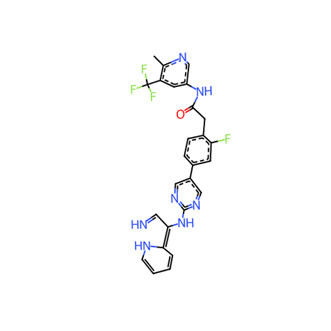 Cc1ncc(NC(=O)Cc2ccc(-c3cnc(N/C(C=N)=C4\C=CC=CN4)nc3)cc2F)cc1C(F)(F)F